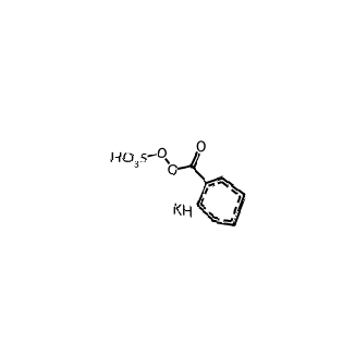 O=C(OOS(=O)(=O)O)c1ccccc1.[KH]